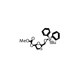 COC(=O)OC1CSC(CO[Si](c2ccccc2)(c2ccccc2)C(C)(C)C)O1